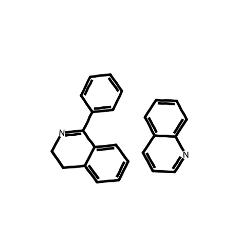 c1ccc(C2=NCCc3ccccc32)cc1.c1ccc2ncccc2c1